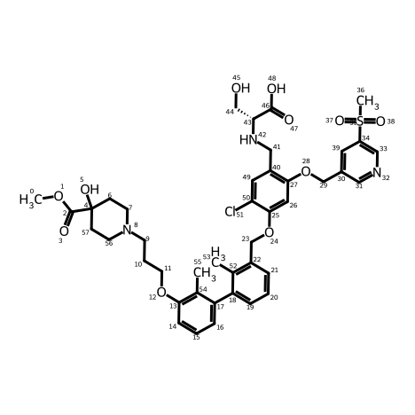 COC(=O)C1(O)CCN(CCCOc2cccc(-c3cccc(COc4cc(OCc5cncc(S(C)(=O)=O)c5)c(CN[C@H](CO)C(=O)O)cc4Cl)c3C)c2C)CC1